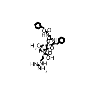 CC(C)C[C@H](NC(=O)[C@H](Cc1ccccc1)NC(=O)CNC(=O)OCc1ccccc1)C(=O)N[C@@H](CCCNC(=N)N)C(=O)O